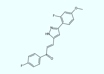 COc1ccc(-c2cc(C=CC(=O)c3ccc(F)cc3)[nH]n2)c(F)c1